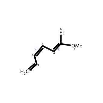 C=C/C=C\C=C(/CC)OC